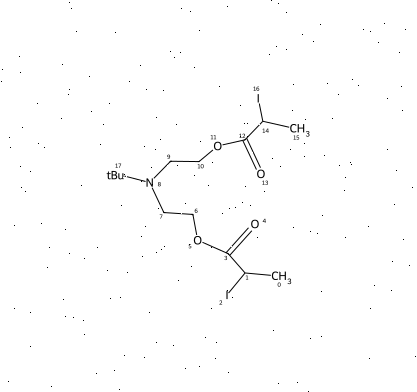 CC(I)C(=O)OCCN(CCOC(=O)C(C)I)C(C)(C)C